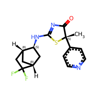 C[C@@]1(c2ccncc2)SC(N[C@H]2C[C@H]3C[C@@H]2CC3(F)F)=NC1=O